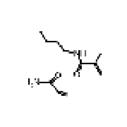 C=C(C)C(=O)NCCCC.C=CC(N)=O